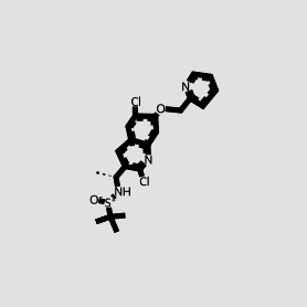 C[C@@H](N[S+]([O-])C(C)(C)C)c1cc2cc(Cl)c(OCc3ccccn3)cc2nc1Cl